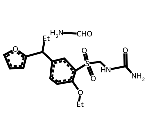 CCOc1ccc(C(CC)c2ccco2)cc1S(=O)(=O)CNC(N)=O.NC=O